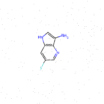 Nc1c[nH]c2cc(F)cnc12